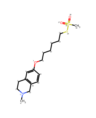 CN1CCc2cc(OCCCCCCSS(C)(=O)=O)ccc2C1